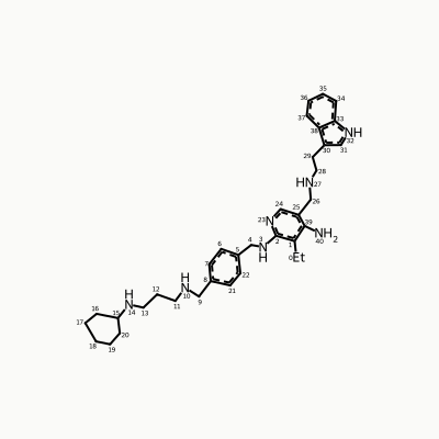 CCc1c(NCc2ccc(CNCCCNC3CCCCC3)cc2)ncc(CNCCc2c[nH]c3ccccc23)c1N